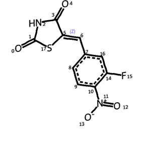 O=C1NC(=O)/C(=C/c2ccc([N+](=O)[O-])c(F)c2)S1